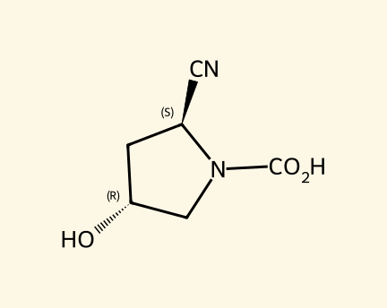 N#C[C@@H]1C[C@@H](O)CN1C(=O)O